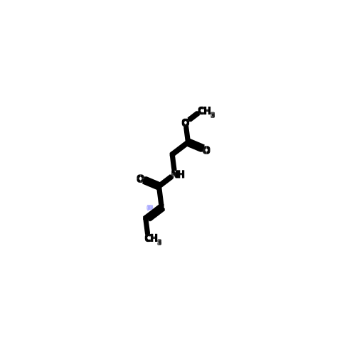 C/C=C/C(=O)NCC(=O)OC